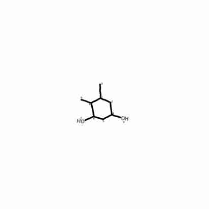 CC1CC(O)CC(O)C1C